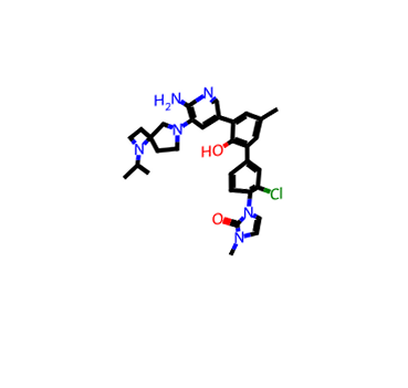 Cc1cc(-c2ccc(-n3ccn(C)c3=O)c(Cl)c2)c(O)c(-c2cnc(N)c(N3CCC4(CCN4C(C)C)C3)c2)c1